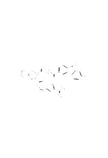 Cc1ccc2c(c1)C(F)(F)c1ccc(C(=O)NCC(=O)N3CC4(CC3C(=O)N[C@H](C)c3cc(C(=N)N)cs3)OCCO4)cc1-2